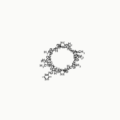 CC[C@H](C)[C@H]1C(=O)NC[C@@H](NC(=O)OCc2ccccc2)C(=O)N2CCCC[C@H]2C(=O)NCC(=O)N(C)CC(=O)N(C)[C@@H]([C@@H](C)CC)C(=O)NC[C@@H](N)C(=O)N2CCCC[C@H]2C(=O)NCC(=O)N(C)CC(=O)N1C